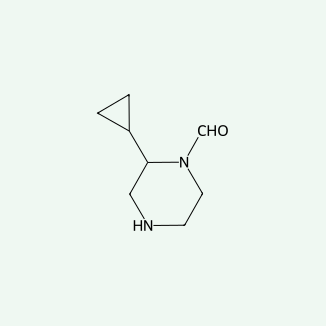 O=CN1CCNCC1C1CC1